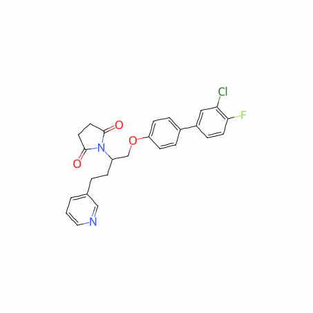 O=C1CCC(=O)N1C(CCc1cccnc1)COc1ccc(-c2ccc(F)c(Cl)c2)cc1